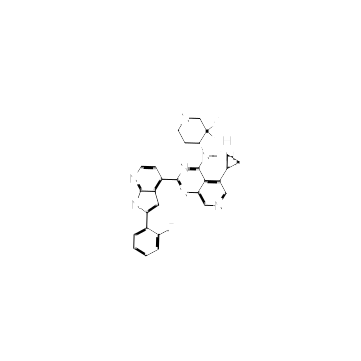 CN(c1nc(-c2ccnc3[nH]c(-c4ccccc4F)cc23)nc2cncc(C3CC3)c12)[C@H]1CCNCC1(C)C